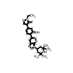 CCn1ncc(-c2ccc(-c3cc4nnn(C5CC(C)(C)NC(C)(C)C5)c4nn3)c(O)c2)c1F